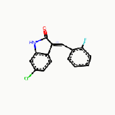 O=C1Nc2cc(Cl)ccc2/C1=C\c1ccccc1F